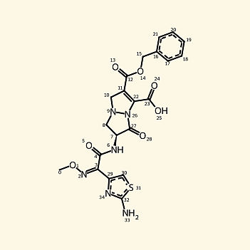 CO/N=C(\C(=O)N[C@H]1CN2CC(C(=O)OCc3ccccc3)=C(C(=O)O)N2C1=O)c1csc(N)n1